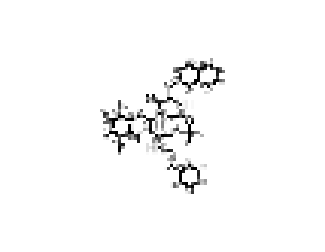 CC(C)(C)OC(=O)NC(Cc1ccc2ccccc2c1)C(=O)N[C@@H](CC(=O)NOCc1ccccc1)Cc1c(F)c(F)c(F)c(F)c1F